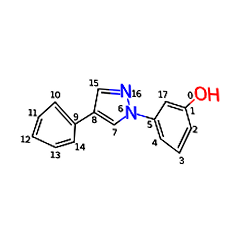 Oc1cccc(-n2cc(-c3ccccc3)cn2)c1